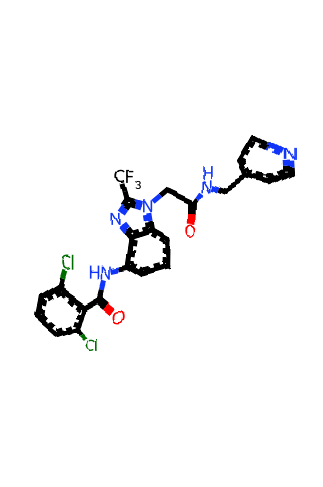 O=C(Cn1c(C(F)(F)F)nc2c(NC(=O)c3c(Cl)cccc3Cl)cccc21)NCc1ccncc1